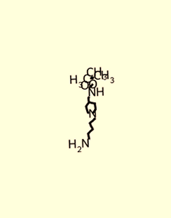 CC(C)(C)OC(=O)NCC1CCN(CCCCCN)CC1